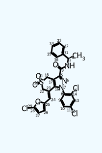 C[C@@H](NC(=O)c1nn(-c2ccc(Cl)cc2Cl)c2c1CS(=O)(=O)C/C2=C\c1ccc(Cl)o1)c1ccccc1